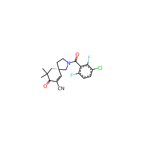 CC1(C)C[C@]2(C=C(C#N)C1=O)CCN(C(=O)c1c(F)ccc(Cl)c1F)C2